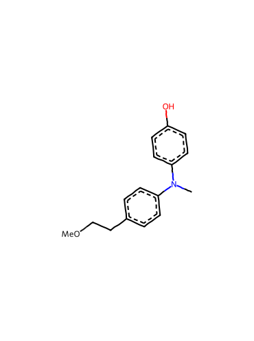 COCCc1ccc(N(C)c2ccc(O)cc2)cc1